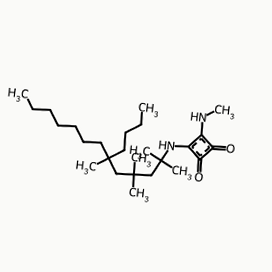 CCCCCCCC(C)(CCCC)CC(C)(C)CC(C)(C)Nc1c(NC)c(=O)c1=O